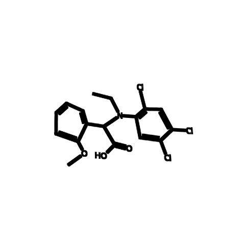 CCN(c1cc(Cl)c(Cl)cc1Cl)C(C(=O)O)c1ccccc1OC